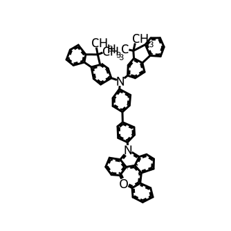 CC1(C)c2ccccc2-c2ccc(N(c3ccc(-c4ccc(-n5c6cccc7oc8ccccc8c8cccc5c8c76)cc4)cc3)c3ccc4c(c3)C(C)(C)c3ccccc3-4)cc21